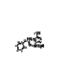 CCCCCCCc1nnc(S)n1NC(=O)Cc1ccccc1